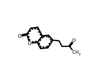 CC(=O)CCc1ccc2oc(=O)ccc2c1